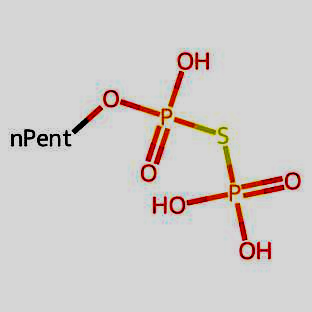 CCCCCOP(=O)(O)SP(=O)(O)O